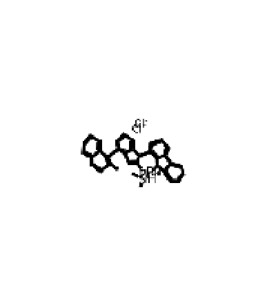 CCCCC1=Cc2c(-c3c(C)ccc4ccccc34)cccc2C1c1cccc2c1[CH]([Zr+2][SiH](C)C)c1ccccc1-2.[Cl-].[Cl-]